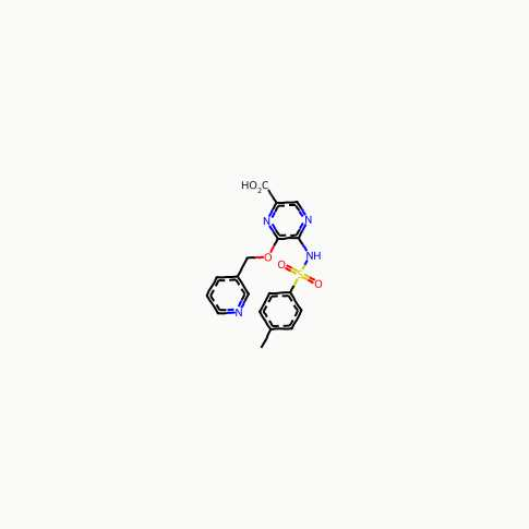 Cc1ccc(S(=O)(=O)Nc2ncc(C(=O)O)nc2OCc2cccnc2)cc1